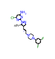 CCCc1c(/C=C/CN2CCN(c3cc(F)cc(F)c3)CC2)cnn1-c1nc(N)cc(Cl)n1